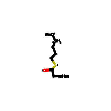 CCCCCCCC(=O)SCCC[SiH2]OC